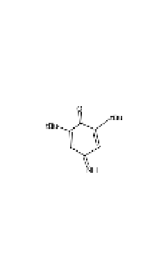 CC(C)(C)C1=CC(=N)C=C(C(C)(C)C)C1=O